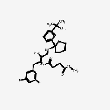 COC(=O)CCC(=O)NC(Cc1cc(F)cc(F)c1)C(O)CNC1(c2cccc(C(C)(C)C)c2)CCCCC1